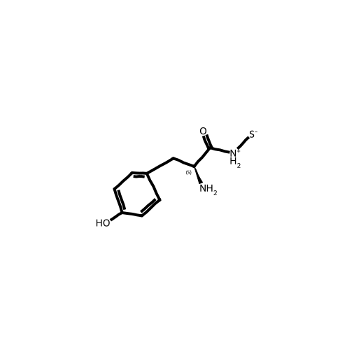 N[C@@H](Cc1ccc(O)cc1)C(=O)[NH2+][S-]